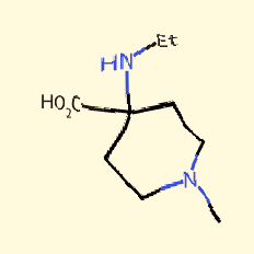 CCNC1(C(=O)O)CCN(C)CC1